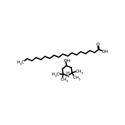 CC1(C)CC(O)CC(C)(C)N1.CCCCCCCCCCCCCCCCCC(=O)O